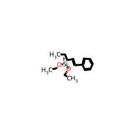 CCO[SiH](OCC)C(/C=C/c1ccccc1)CC